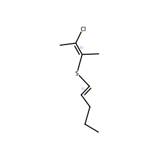 CCC/C=C/S/C(C)=C(\C)Cl